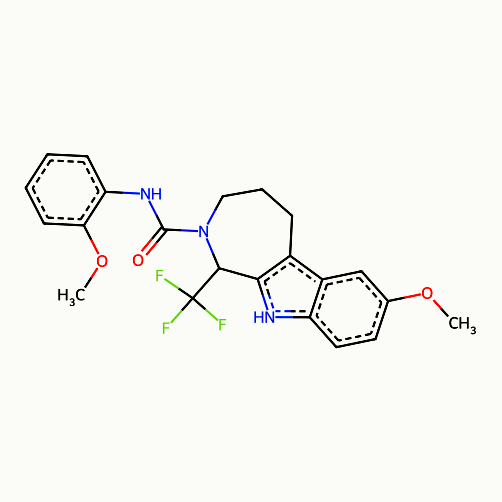 COc1ccc2[nH]c3c(c2c1)CCCN(C(=O)Nc1ccccc1OC)C3C(F)(F)F